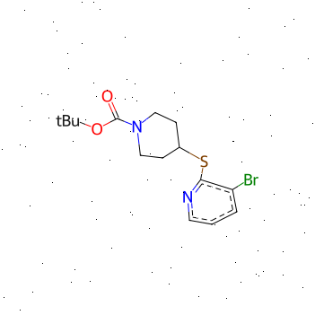 CC(C)(C)OC(=O)N1CCC(Sc2ncccc2Br)CC1